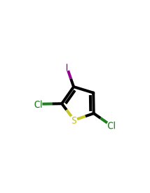 Clc1cc(I)c(Cl)s1